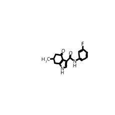 CC1CC(=O)c2c(C(=O)Nc3cccc(F)c3)c[nH]c2C1